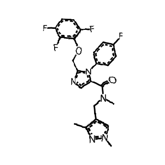 Cc1nn(C)cc1CN(C)C(=O)c1cnc(COc2c(F)ccc(F)c2F)n1-c1ccc(F)cc1